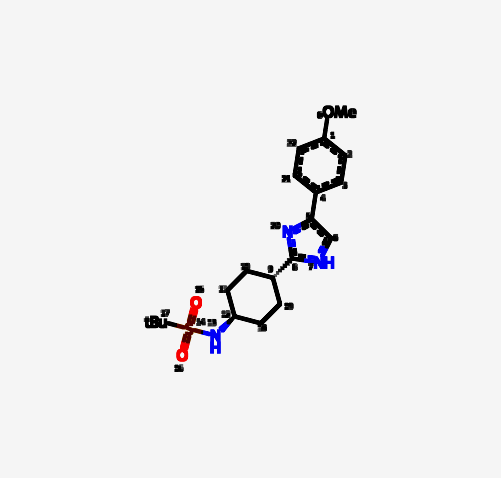 COc1ccc(-c2c[nH]c([C@H]3CC[C@H](NS(=O)(=O)C(C)(C)C)CC3)n2)cc1